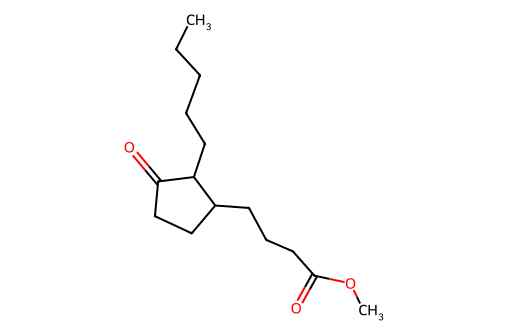 CCCCCC1C(=O)CCC1CCCC(=O)OC